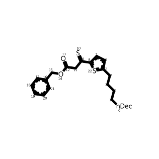 CCCCCCCCCCCCCCc1ccc(C(=S)CC(=O)OCc2ccccc2)s1